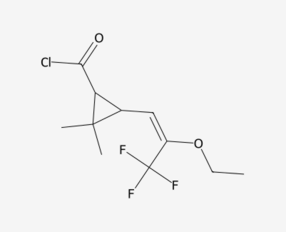 CCO/C(=C/C1C(C(=O)Cl)C1(C)C)C(F)(F)F